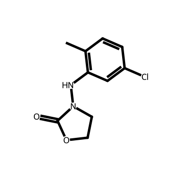 Cc1ccc(Cl)cc1NN1CCOC1=O